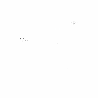 CCCOc1ccccc1SC